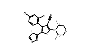 C[C@@H]1COC[C@H](C)N1c1sc(-c2nnc[nH]2)c(-c2ccc(Cl)cc2Cl)c1C#N